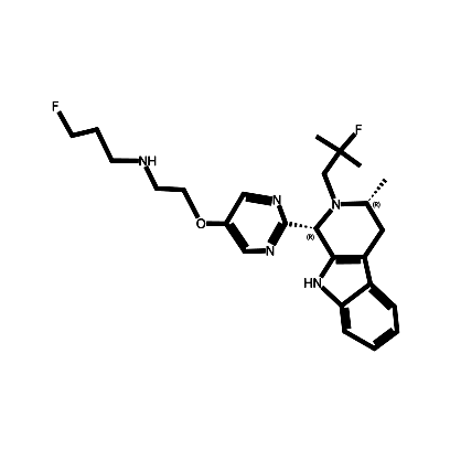 C[C@@H]1Cc2c([nH]c3ccccc23)[C@H](c2ncc(OCCNCCCF)cn2)N1CC(C)(C)F